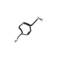 [CH2]COc1ccc(C(C)C)cc1